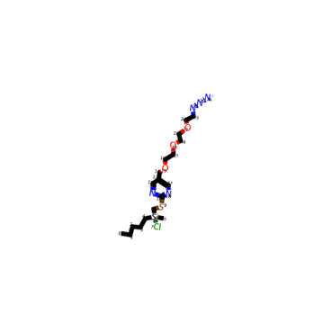 CCCCC[Si](C)(Cl)CSc1ncc(COCCOCCOCCN=[N+]=[N-])cn1